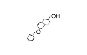 OCC1CCc2cc(OCc3ccccc3)ccc2C1